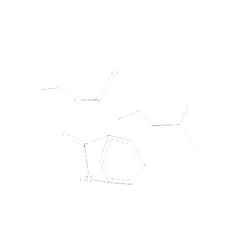 CCOC(=O)CCCC(C)C.O=C1Nc2cccc1c2